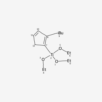 CC[O][Ti]([O]CC)([O]CC)[C]1=C(C(C)CC)C=CC1